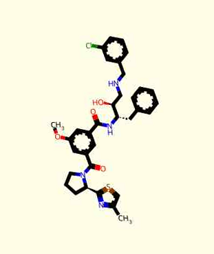 COc1cc(C(=O)N[C@@H](Cc2ccccc2)[C@@H](O)CNCc2cccc(Cl)c2)cc(C(=O)N2CCC[C@@H]2c2nc(C)cs2)c1